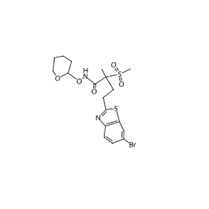 CC(CCc1nc2ccc(Br)cc2s1)(C(=O)NOC1CCCCO1)S(C)(=O)=O